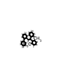 Cc1ccccc1C(=Cc1ccccc1-c1ccccc1)c1ccccc1C